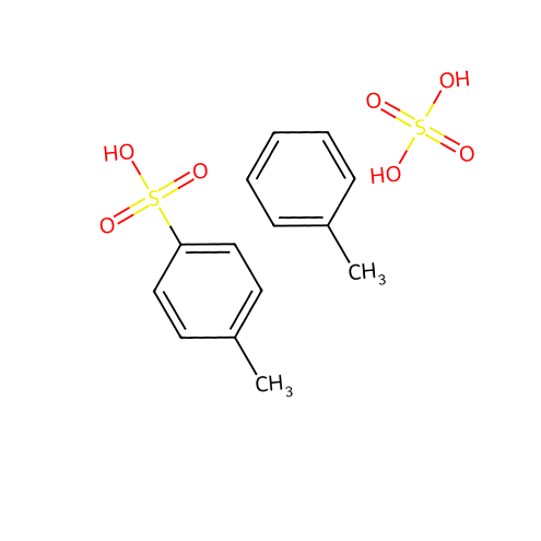 Cc1ccc(S(=O)(=O)O)cc1.Cc1ccccc1.O=S(=O)(O)O